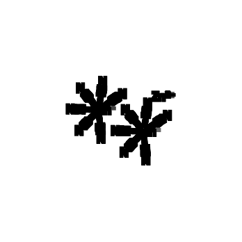 N#[C][Mn-]([C]#N)([C]#N)([C]#N)([C]#N)[C]#N.N#[C][Mn-]([C]#N)([C]#N)([C]#N)([C]#N)[C]#N.[Zn+2]